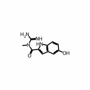 CN(C(=N)N)C(=O)c1cc2cc(O)ccc2[nH]1